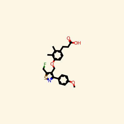 COc1ccc(-c2nsc(CF)c2COc2ccc(CCC(=O)O)c(C)c2C)cc1